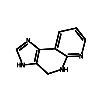 c1cnc2c(c1)-c1nc[nH]c1CN2